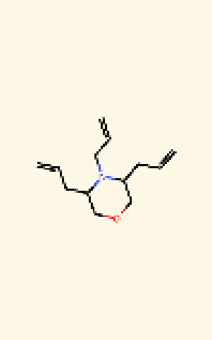 C=CCC1COCC(CC=C)N1CC=C